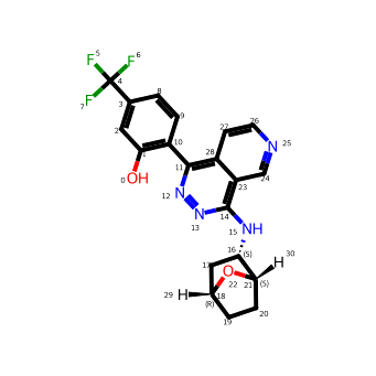 Oc1cc(C(F)(F)F)ccc1-c1nnc(N[C@H]2C[C@H]3CC[C@@H]2O3)c2cnccc12